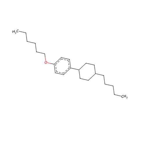 [CH2]CCCCCOc1ccc(C2CCC(CCCCC)CC2)cc1